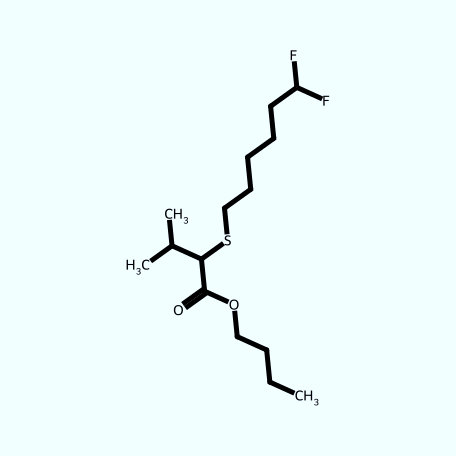 CCCCOC(=O)C(SCCCCCC(F)F)C(C)C